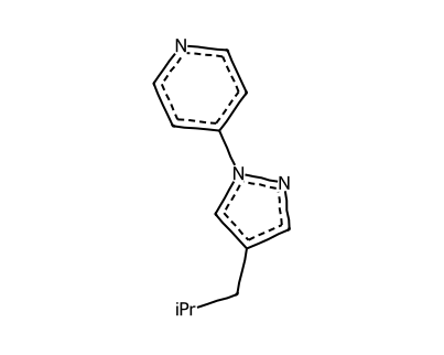 CC(C)Cc1cnn(-c2ccncc2)c1